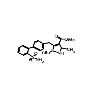 CCCCN1NC(C)C(C(=O)OC)=C1Cc1ccc(-c2ccccc2S(N)(=O)=O)cc1